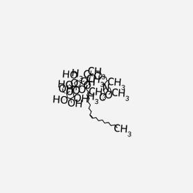 CC(Cc1ccc(C(C)(C)C)cc1)CN1C[C@@H](C)O[C@@H](C)C1.CCCCCCCC/C=C\CCCCCCC(C)C(=O)O[C@H]1[C@H](O)[C@@H](CO)O[C@@]1(CO)O[C@H]1O[C@H](CO)[C@@H](O)[C@H](O)[C@H]1O